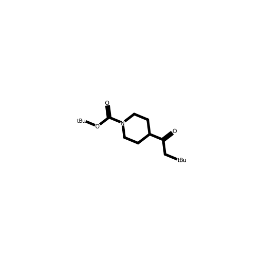 CC(C)(C)CC(=O)C1CCN(C(=O)OC(C)(C)C)CC1